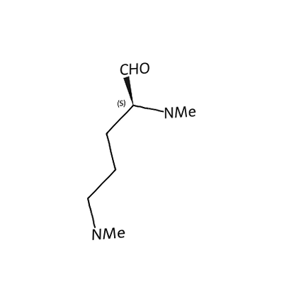 CNCCC[C@@H](C=O)NC